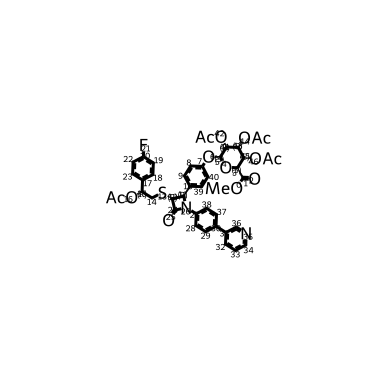 COC(=O)[C@H]1O[C@@H](Oc2ccc([C@@H]3[C@@H](SC[C@H](OC(C)=O)c4ccc(F)cc4)C(=O)N3c3ccc(-c4cccnc4)cc3)cc2)[C@H](OC(C)=O)[C@@H](OC(C)=O)[C@@H]1OC(C)=O